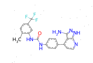 Cc1ccc(C(F)(F)F)cc1NC(=O)Nc1ccc(-c2ccnc3[nH]nc(N)c23)cc1